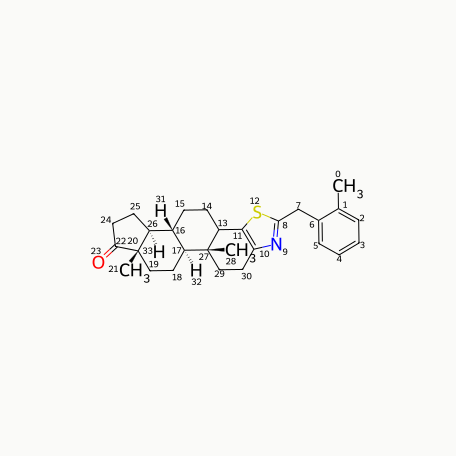 Cc1ccccc1Cc1nc2c(s1)C1CC[C@@H]3[C@H](CC[C@]4(C)C(=O)CC[C@@H]34)[C@@]1(C)CC2